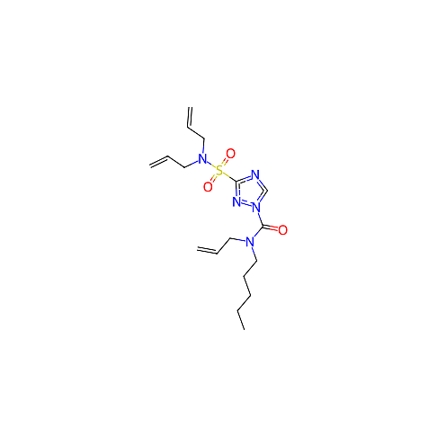 C=CCN(CCCCC)C(=O)n1cnc(S(=O)(=O)N(CC=C)CC=C)n1